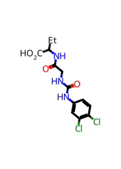 CCC(NC(=O)CNC(=O)Nc1ccc(Cl)c(Cl)c1)C(=O)O